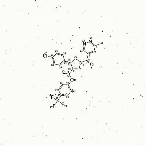 Cc1cc(C(=O)N2C[C@H]([C@H](C)Oc3ccc(C(F)(F)F)cn3)[C@@H](c3ccc(Cl)cc3)C2)cnn1